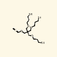 C=C=COCC(COCCCS)(COCCCS)COCCCS